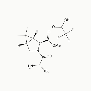 COC(=O)[C@@H]1[C@@H]2[C@H](CN1C(=O)[C@@H](N)C(C)(C)C)C2(C)C.O=C(O)C(F)(F)F